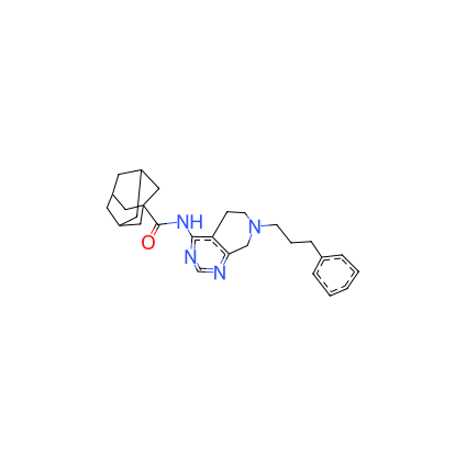 O=C(Nc1ncnc2c1CCN(CCCc1ccccc1)C2)C12CC3CC(CC(C3)C1)C2